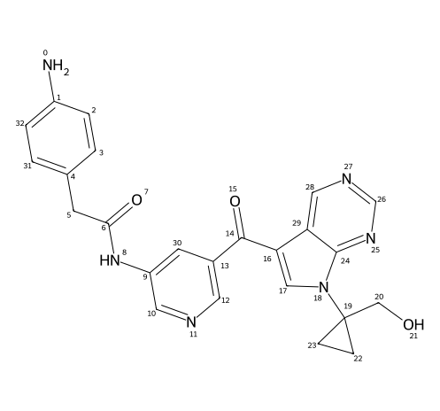 Nc1ccc(CC(=O)Nc2cncc(C(=O)c3cn(C4(CO)CC4)c4ncncc34)c2)cc1